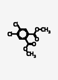 COC(=O)c1cc(Cl)c(Cl)cc1C(=O)OC